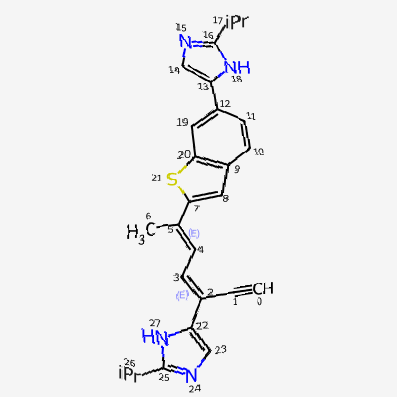 C#C/C(=C\C=C(/C)c1cc2ccc(-c3cnc(C(C)C)[nH]3)cc2s1)c1cnc(C(C)C)[nH]1